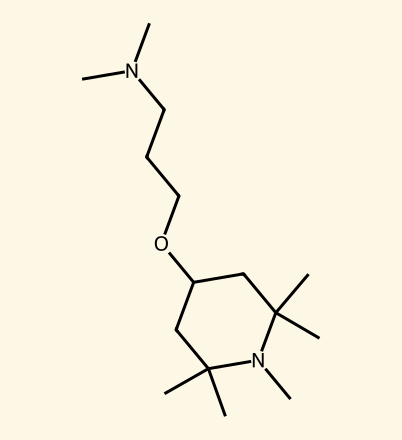 CN(C)CCCOC1CC(C)(C)N(C)C(C)(C)C1